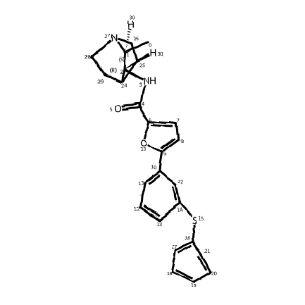 C[C@H]1[C@H](NC(=O)c2ccc(-c3cccc(Sc4ccccc4)c3)o2)C2CCN1CC2